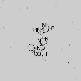 O=C(O)[C@H]1CCCC[C@@H]1n1ccc2cnc(-c3c[nH]c4ncc(F)cc34)nc21